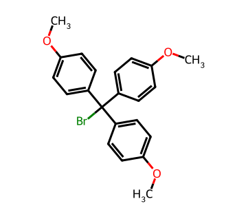 COc1ccc(C(Br)(c2ccc(OC)cc2)c2ccc(OC)cc2)cc1